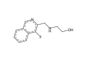 OCCNCc1ncc2ccccc2c1F